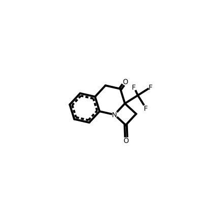 O=C1CC2(C(F)(F)F)C(=O)Cc3ccccc3N12